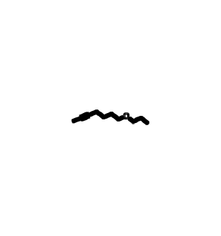 CC#CCCCCO[CH]CC